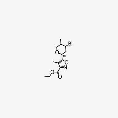 CCOC(=O)c1noc([C@H]2CC(Br)C(C)CO2)c1C